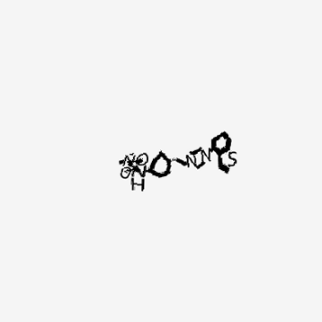 CN(C)S(=O)(=O)N[C@H]1CC[C@H](CCN2CCN(c3cccc4sccc34)CC2)CC1